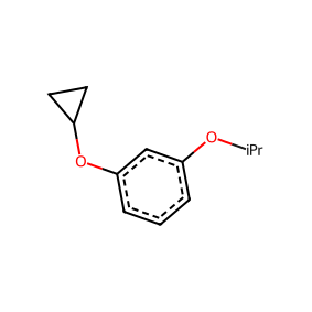 CC(C)Oc1cccc(OC2CC2)c1